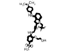 CN(C)C1CCC(NC2=c3cc(C#CCNc4ccc(S(C)(=O)=O)cc4OCCO)n(CC(F)(F)P)c3=CCC2)CC1